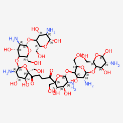 N[C@H]1[C@@H](OC2[C@@H](CO)O[C@@H](OC3[C@@H](CO)O[C@@H](O)[C@H](N)[C@H]3O)[C@H](N)[C@H]2O)O[C@@](CO)(C(=O)CCC(=O)[C@]2(CO)O[C@H](OC3[C@@H](CO)O[C@@H](OC4[C@@H](CO)O[C@@H](O)[C@H](N)[C@H]4O)[C@H](N)[C@H]3O)[C@H](N)[C@@H](O)[C@@H]2O)[C@@H](O)[C@@H]1O